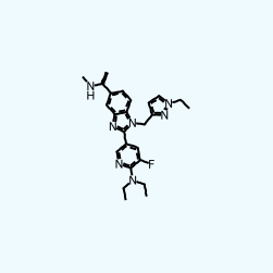 C=C(NC)c1ccc2c(c1)nc(-c1cnc(N(CC)CC)c(F)c1)n2Cc1ccn(CC)n1